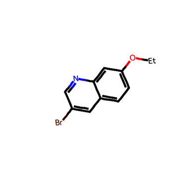 CCOc1ccc2cc(Br)cnc2c1